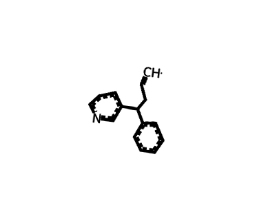 [CH]=CCC(c1ccccc1)c1cccnc1